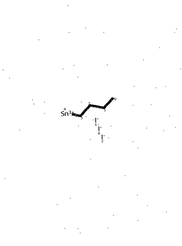 CCC[CH2][Sn+3].[I-].[I-].[I-]